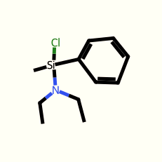 CCN(CC)[Si](C)(Cl)c1ccccc1